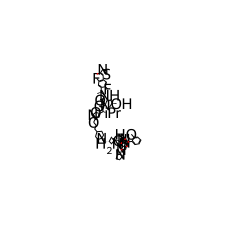 Cc1ncsc1-c1cc(F)c([C@H](C)NC(=O)[C@@H]2C[C@@H](O)CN2C(=O)[C@H](c2cc(OCCC3CCN(C[C@H]4C[C@H](Oc5cc(N6C7CCC6CN(c6cc(-c8ccccc8O)nnc6N)C7)ccn5)C4)CC3)no2)C(C)C)cc1F